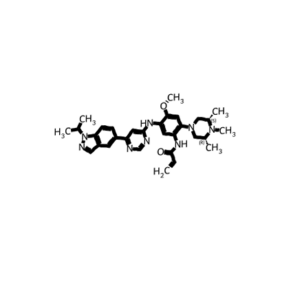 C=CC(=O)Nc1cc(Nc2cc(-c3ccc4c(cnn4C(C)C)c3)ncn2)c(OC)cc1N1C[C@@H](C)N(C)[C@@H](C)C1